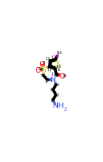 NCCCCN1CCS(=O)(=O)c2cc(I)sc2C1=O